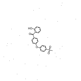 CS(=O)(=O)c1ccc(Oc2ccc(C(=O)c3ccccc3O)cc2)cc1